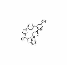 N#Cc1cnc(N2CCN([N@@+]34C=CC=C3C=C(C(=O)N3CCSC3)C4)CC2)c(-c2ccccc2)c1